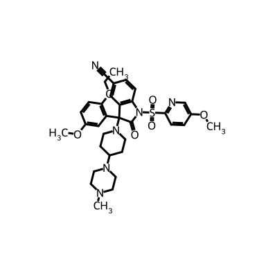 CCOc1ccc(OC)cc1C1(N2CCC(N3CCN(C)CC3)CC2)C(=O)N(S(=O)(=O)c2ccc(OC)cn2)c2ccc(C#N)cc21